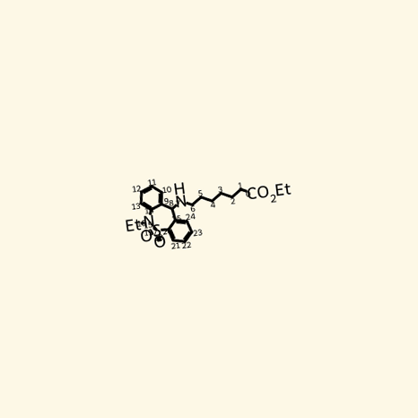 CCOC(=O)CCCCCCNC1c2ccccc2N(CC)S(=O)(=O)c2ccccc21